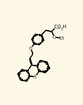 CCOC(Cc1ccc(OCC=C2c3ccccc3Sc3ccccc32)cc1)C(=O)O